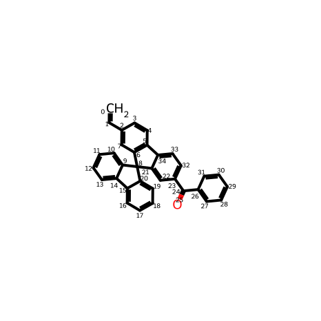 C=Cc1ccc2c(c1)C1(c3ccccc3-c3ccccc31)c1cc(C(=O)c3ccccc3)ccc1-2